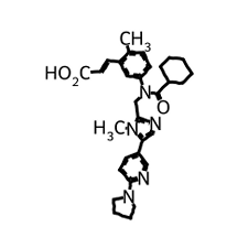 Cc1ccc(N(Cc2ncc(-c3ccc(N4CCCC4)nc3)n2C)C(=O)C2CCCCC2)cc1C=CC(=O)O